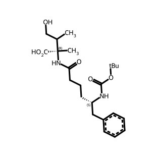 CC(CO)[C@@](C)(NC(=O)CCC[C@@H](Cc1ccccc1)NC(=O)OC(C)(C)C)C(=O)O